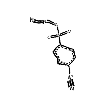 N#[N+]c1ccc(S(=O)(=O)N=[N+]=[N-])cc1